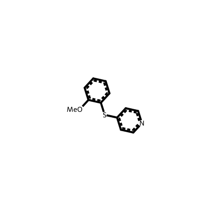 COc1ccccc1Sc1ccncc1